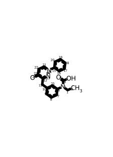 CCN(C(=O)O)c1cccc(Cc2nn(-c3ccccc3)ccc2=O)c1